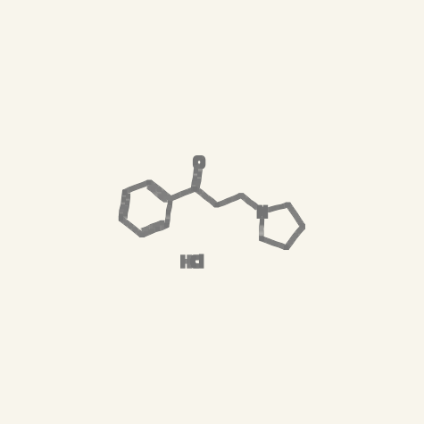 Cl.O=C(CCN1CCCC1)c1ccccc1